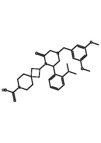 COc1cc(CN2CC(=O)N(C3CC4(CCN(C(=O)O)CC4)C3)C(c3ccccc3C(C)C)C2)cc(OC)c1